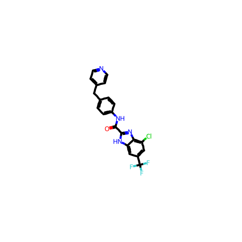 O=C(Nc1ccc(Cc2ccncc2)cc1)c1nc2c(Cl)cc(C(F)(F)F)cc2[nH]1